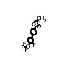 CC1COC(C2CC=C(c3ccc(OC(F)(F)F)c(F)c3)CC2)OC1